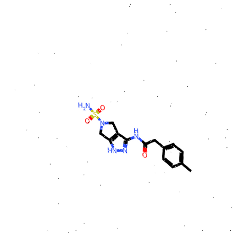 Cc1ccc(CC(=O)Nc2n[nH]c3c2CN(S(N)(=O)=O)C3)cc1